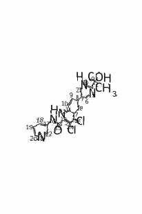 CC(C)(O)c1ncc(-c2ccc3nc(C(=O)Nc4cccnc4)c(Cl)c(Cl)c3c2)cn1